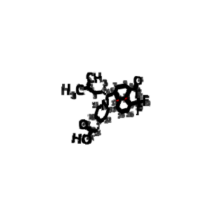 CC(C)CC[C@H](c1ccc(C=O)cc1)N1CC[C@@H](CC(=O)O)C[C@H]1c1ccc(C(F)(F)F)cc1